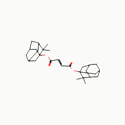 CC1(C)C2CC3CC(C2)CC1(OC(=O)C=CC(=O)OC12CC4CC(CC(C4)C1(C)C)C2)C3